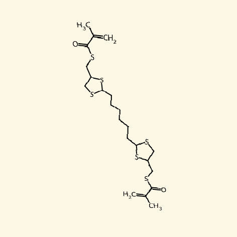 C=C(C)C(=O)SCC1CSC(CCCCCCC2SCC(CSC(=O)C(=C)C)S2)S1